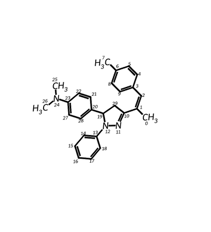 CC(=Cc1ccc(C)cc1)C1=NN(c2ccccc2)C(c2ccc(N(C)C)cc2)C1